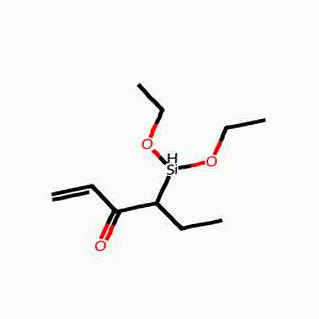 C=CC(=O)C(CC)[SiH](OCC)OCC